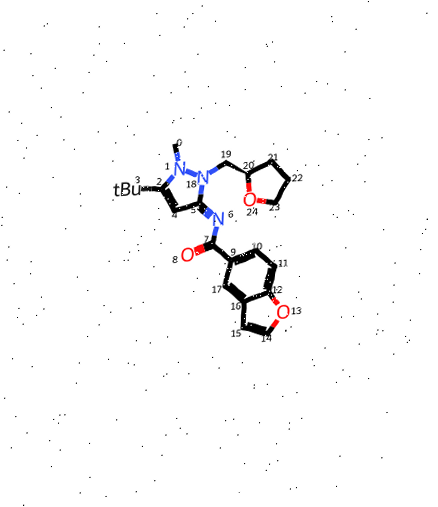 Cn1c(C(C)(C)C)cc(=NC(=O)c2ccc3occc3c2)n1C[C@H]1CCCO1